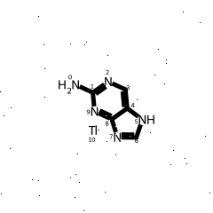 Nc1ncc2[nH]cnc2n1.[Tl]